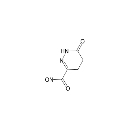 O=NC(=O)C1=NNC(=O)CC1